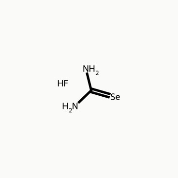 F.NC(N)=[Se]